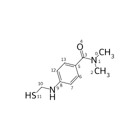 CN(C)C(=O)c1ccc(NCS)cc1